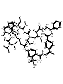 CC[C@H](C)[C@@H]([C@@H](CC(=O)N1CCC[C@H]1[C@H](OC)[C@@H](C)C(=O)N[C@H](C)[C@@H](OC(=O)c1ccc(/C(C)=N\NC(=O)c2ccc(NC(=O)CCCCCN3C(=O)C=CC3=O)cc2S(=O)(=O)O)cc1)c1ccccc1)OC)N(C)C(=O)[C@@H](NC(=O)[C@H](C(C)C)N(C)C)C(C)C